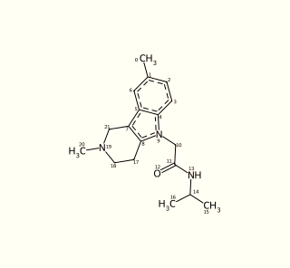 Cc1ccc2c(c1)c1c(n2CC(=O)NC(C)C)CCN(C)C1